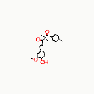 COc1cc(/C=C/C(=O)C(C)(C)C(=O)c2ccc(C)cc2)ccc1O